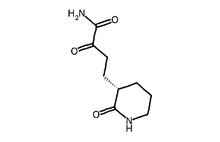 NC(=O)C(=O)CC[C@@H]1CCCNC1=O